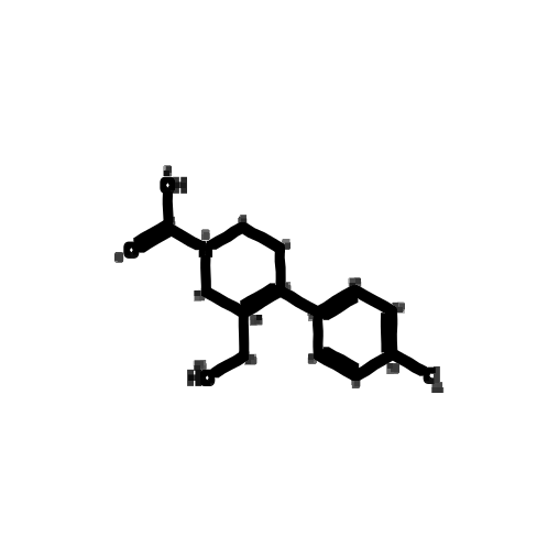 O=C(O)N1CCC(c2ccc(Cl)cc2)=C(CO)C1